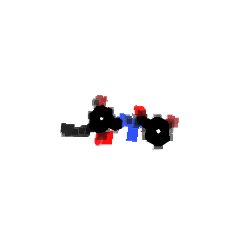 COc1cc(Br)cc(/C=N/NC(=O)c2cccc(Br)c2)c1O